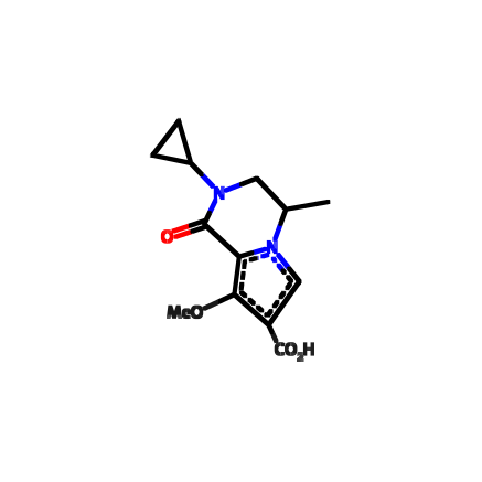 COc1c(C(=O)O)cn2c1C(=O)N(C1CC1)CC2C